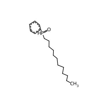 CCCCCCCCCCCC[PH](=O)c1ccccc1